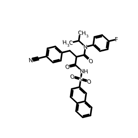 CC(C)N(C(=O)C(Cc1ccc(C#N)cc1)C(=O)NS(=O)(=O)c1ccc2ccccc2c1)c1ccc(F)cc1